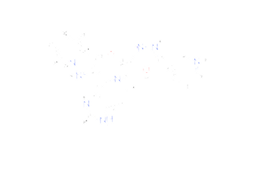 O=C(c1nnc(-c2cccnc2)o1)N1CCc2[nH]cnc2C1c1cc2ccccn2n1